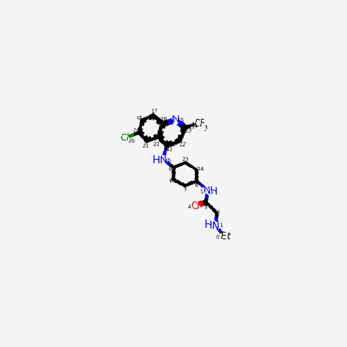 CCNCC(=O)NC1CCC(Nc2cc(C(F)(F)F)nc3ccc(Cl)cc23)CC1